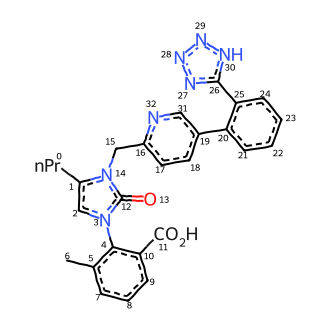 CCCc1cn(-c2c(C)cccc2C(=O)O)c(=O)n1Cc1ccc(-c2ccccc2-c2nnn[nH]2)cn1